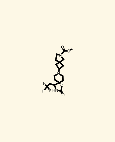 COC(=O)N1CCC2(CC(N3CCC4(CC3)OC(=O)NC4CC(F)(F)F)C2)C1